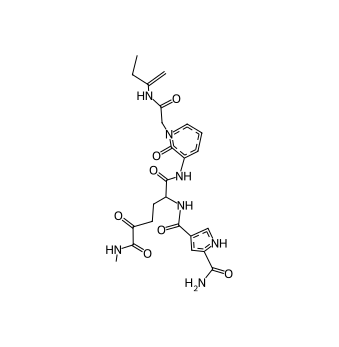 C=C(CC)NC(=O)Cn1cccc(NC(=O)C(CCC(=O)C(=O)NC)NC(=O)c2c[nH]c(C(N)=O)c2)c1=O